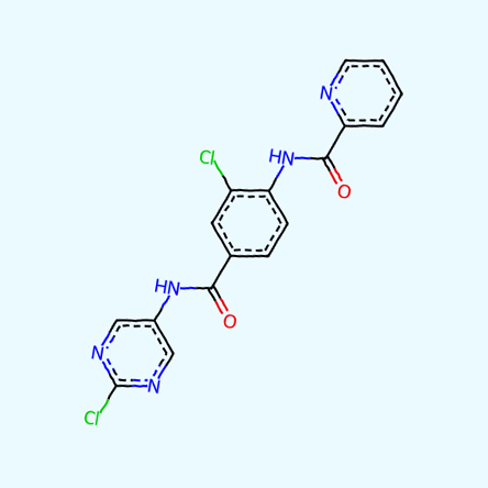 O=C(Nc1cnc(Cl)nc1)c1ccc(NC(=O)c2ccccn2)c(Cl)c1